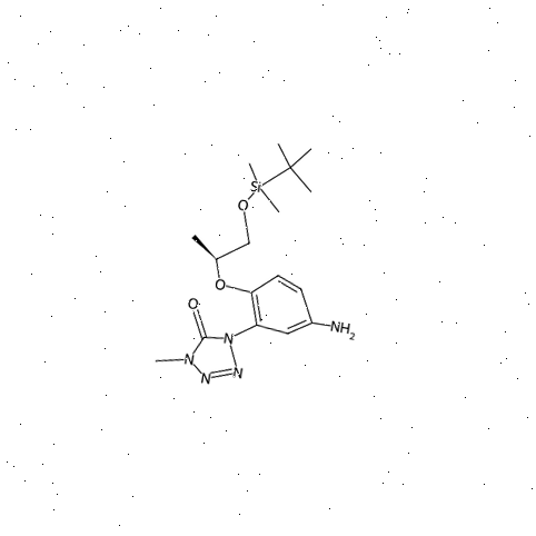 C[C@@H](CO[Si](C)(C)C(C)(C)C)Oc1ccc(N)cc1-n1nnn(C)c1=O